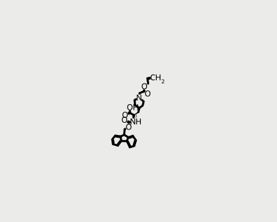 C=CCOC(=O)CN1CCC(C[C@@H](NC(=O)OCC2c3ccccc3-c3ccccc32)C(=O)O)CC1